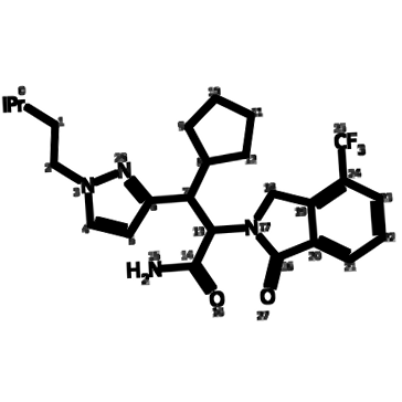 CC(C)CCn1ccc(C(C2CCCC2)C(C(N)=O)N2Cc3c(cccc3C(F)(F)F)C2=O)n1